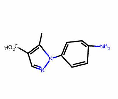 Cc1c(C(=O)O)cnn1-c1ccc(N)cc1